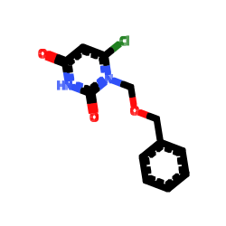 O=c1cc(Cl)n(COCc2ccccc2)c(=O)[nH]1